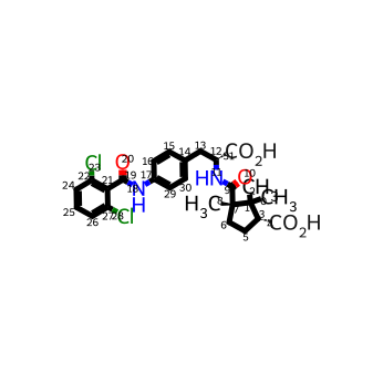 CC1(C)[C@H](C(=O)O)CC[C@]1(C)C(=O)N[C@H](Cc1ccc(NC(=O)c2c(Cl)cccc2Cl)cc1)C(=O)O